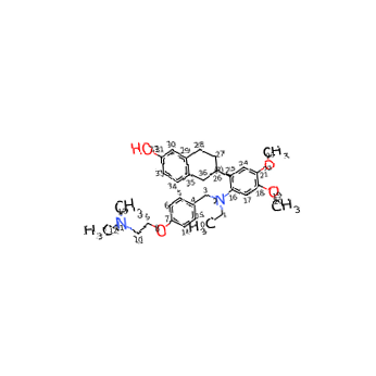 CCN(Cc1ccc(OCCN(C)C)cc1)c1cc(OC)c(OC)cc1[C@@H]1CCc2cc(O)ccc2C1